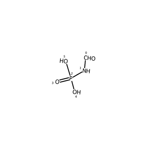 O=CNP(=O)(O)O